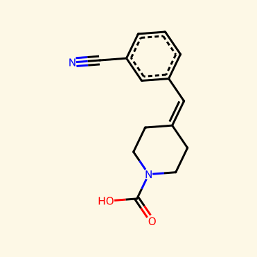 N#Cc1cccc(C=C2CCN(C(=O)O)CC2)c1